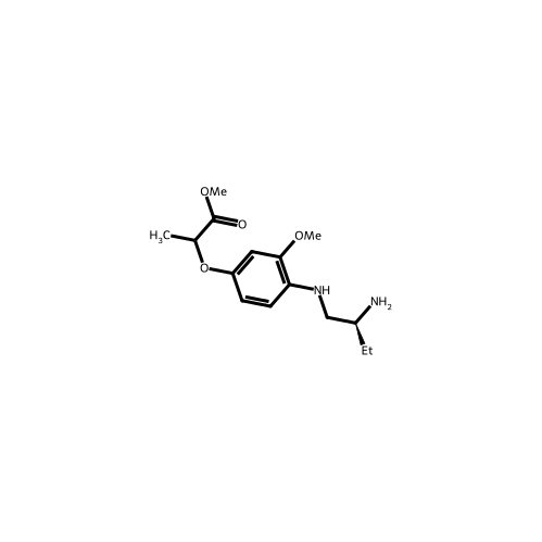 CC[C@H](N)CNc1ccc(OC(C)C(=O)OC)cc1OC